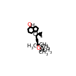 CC(C)(C#CCC1([C@H]2CC[C@H]3C(=O)CCC[C@@]23C)CC1)O[Si](C)(C)C